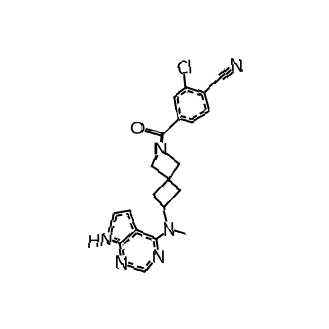 CN(c1ncnc2[nH]ccc12)C1CC2(C1)CN(C(=O)c1ccc(C#N)c(Cl)c1)C2